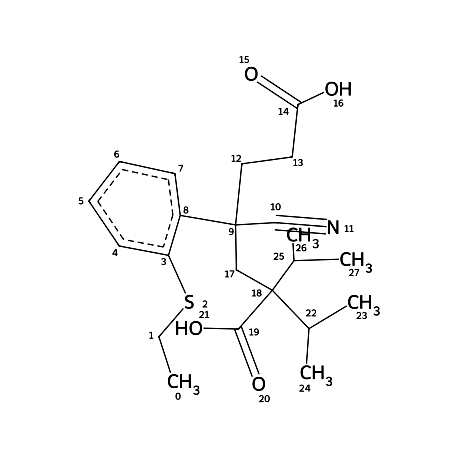 CCSc1ccccc1C(C#N)(CCC(=O)O)CC(C(=O)O)(C(C)C)C(C)C